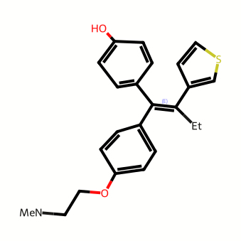 CC/C(=C(/c1ccc(O)cc1)c1ccc(OCCNC)cc1)c1ccsc1